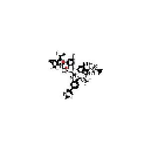 Cc1ncc(-c2ccc3c(=O)n(-c4ccc(Cl)c5c(NS(=O)(=O)C6CC6)nn(CC(F)F)c45)c([C@H](Cc4cc(F)cc(F)c4)NC(=O)Cn4nc(C(F)F)c5c4C(F)(F)C4CC54)nc3c2)cn1